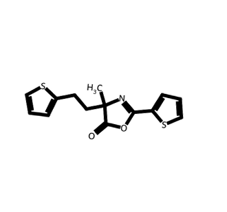 CC1(CCc2cccs2)N=C(c2cccs2)OC1=O